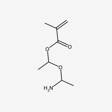 C=C(C)C(=O)OC(C)OC(C)N